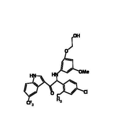 COc1cc(NC(C(=O)c2c[nH]c3ccc(C(F)(F)F)cc23)c2ccc(Cl)cc2C)cc(OCCO)c1